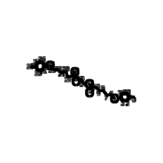 Cc1ccc(OCCCCCC(=O)OCCOC(=O)CCCCCOc2ccc(C)cc2)cc1